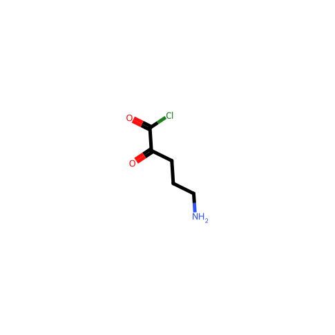 NCCCC(=O)C(=O)Cl